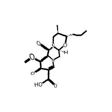 CCC[C@@H]1O[C@H]2Cn3cc(C(=O)O)c(=O)c(OC)c3C(=O)N2C[C@H]1C